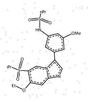 CCCS(=O)(=O)Nc1cc(OC)cc(-c2cnc3cc(OCC)c(S(=O)(=O)C(C)C)cn23)c1